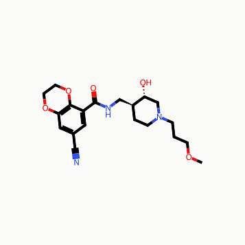 COCCCN1CC[C@@H](CNC(=O)c2cc(C#N)cc3c2OCCO3)[C@H](O)C1